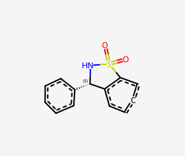 O=S1(=O)N[C@@H](c2ccccc2)c2ccccc21